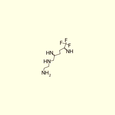 N=C(CCC(=N)C(F)(F)F)CNCCN